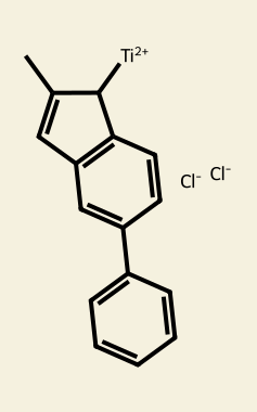 CC1=Cc2cc(-c3ccccc3)ccc2[CH]1[Ti+2].[Cl-].[Cl-]